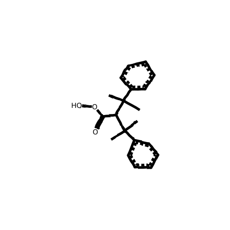 CC(C)(c1ccccc1)C(C(=O)OO)C(C)(C)c1ccccc1